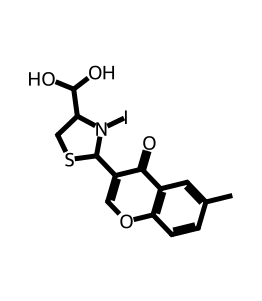 Cc1ccc2occ(C3SCC(C(O)O)N3I)c(=O)c2c1